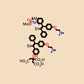 CC/C(=C(\c1ccccc1)c1ccc(OCCN(C)C)cc1)c1ccccc1.CC/C(=C(\c1ccccc1)c1ccc(OCCN(C)C)cc1)c1ccccc1.COP(N)(=O)SC.O=C(O)CC(O)(CC(=O)O)C(=O)O